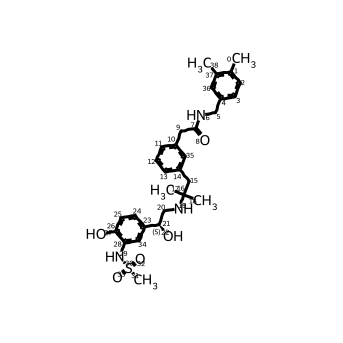 Cc1ccc(CNC(=O)Cc2cccc(CC(C)(C)NC[C@@H](O)c3ccc(O)c(NS(C)(=O)=O)c3)c2)cc1C